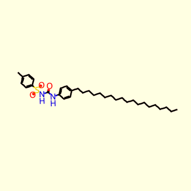 CCCCCCCCCCCCCCCCCCCc1ccc(NC(=O)NS(=O)(=O)c2ccc(C)cc2)cc1